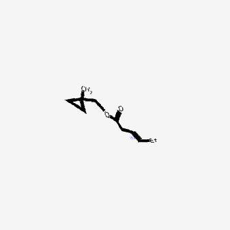 CC/C=C/CC(=O)OCC1(C)CC1